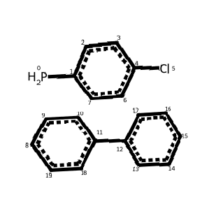 Pc1ccc(Cl)cc1.c1ccc(-c2ccccc2)cc1